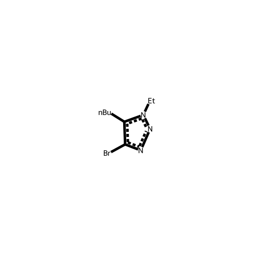 CCCCc1c(Br)nnn1CC